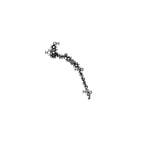 C#CCOC(=O)NCCOCCOCCOCCOCCC(=O)NCc1cnc(N2CCN(c3ncc(C(=O)NCCCCn4nc(-c5cc6cc(O)ccc6[nH]5)c5c(N)ncnc54)cn3)CC2)nc1